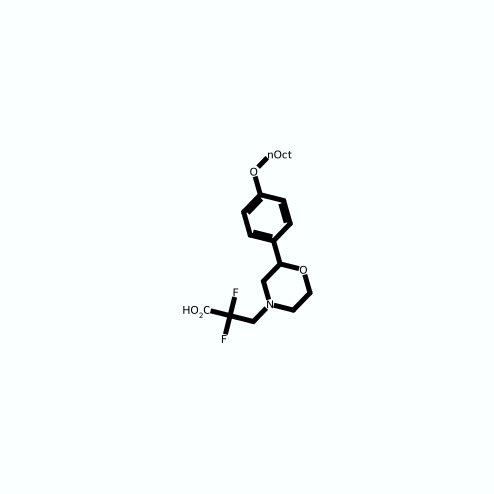 CCCCCCCCOc1ccc(C2CN(CC(F)(F)C(=O)O)CCO2)cc1